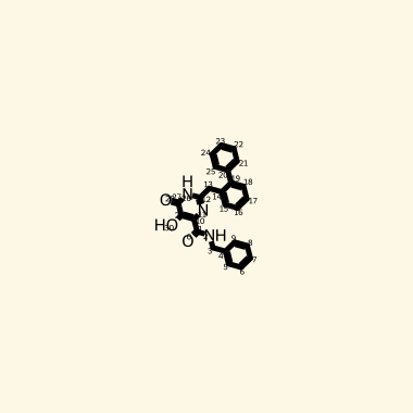 O=C(NCc1ccccc1)c1nc(Cc2ccccc2-c2ccccc2)[nH]c(=O)c1O